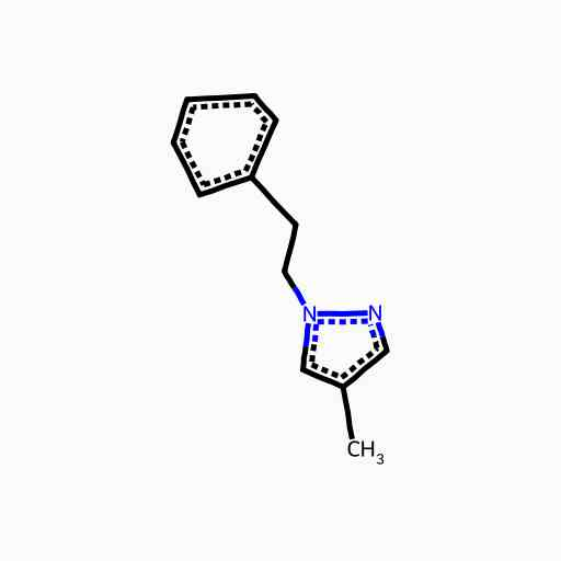 Cc1cnn(CCc2ccccc2)c1